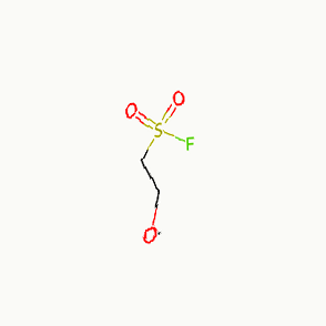 [O]CCS(=O)(=O)F